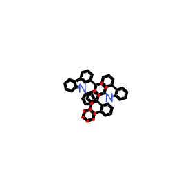 c1ccc(-c2ccccc2-c2c(-c3ccccc3)cccc2N(c2ccc(-c3cccc4c5ccccc5n(-c5ccccc5)c34)cc2)c2ccccc2-c2ccccc2)cc1